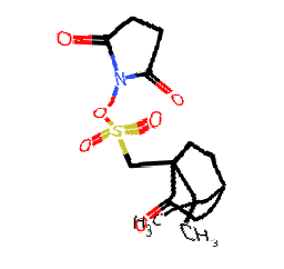 CC1(C)C2CCC1(CS(=O)(=O)ON1C(=O)CCC1=O)C(=O)C2